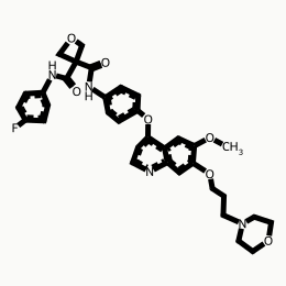 COc1cc2c(Oc3ccc(NC(=O)C4(C(=O)Nc5ccc(F)cc5)COC4)cc3)ccnc2cc1OCCCN1CCOCC1